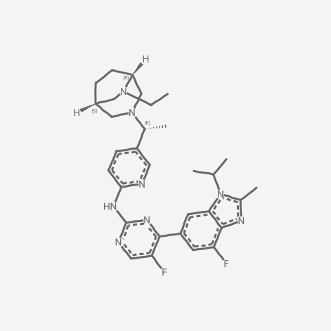 CCN1C[C@H]2CC[C@@H]1CN([C@H](C)c1ccc(Nc3ncc(F)c(-c4cc(F)c5nc(C)n(C(C)C)c5c4)n3)nc1)C2